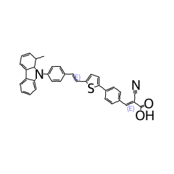 CC1C=CC=C2c3ccccc3N(c3ccc(/C=C/c4ccc(-c5ccc(/C=C(\C#N)C(=O)O)cc5)s4)cc3)C21